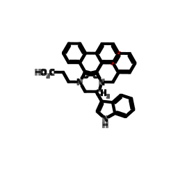 CN(Cc1ccccc1)C(=O)c1ccccc1-c1ccccc1C(=O)N(CCC(=O)O)CCc1c[nH]c2ccccc12